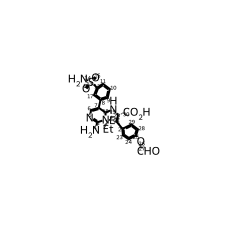 CC[N+]1(CC)C(N)=NC=C(c2cccc(S(N)(=O)=O)c2)C1N[C@@H](Cc1ccc(OC=O)cc1)C(=O)O